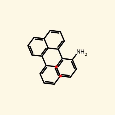 Nc1ccccc1-c1cccc2cccc(-c3ccccc3)c12